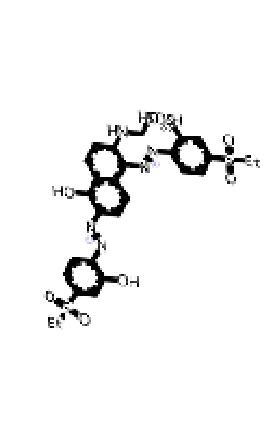 CCS(=O)(=O)c1ccc(/N=N/c2ccc3c(/N=N/c4ccc(S(=O)(=O)CC)cc4S(=O)(=O)O)c(NCS(=O)(=O)O)ccc3c2O)c(O)c1